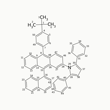 CC(C)(C)c1ccc(-c2c3ccccc3c(-c3cccc4ccccc34)c3cc(-n4c(-c5ccccc5)ccc4-c4ccccc4)ccc23)cc1